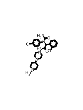 CN1CCC(N2CCN(NC(=O)C(c3ccccc3Cl)N(C(N)=O)c3ccc(Cl)cc3)CC2)CC1